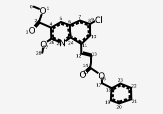 COC(=O)c1cc2cc(Cl)cc(C=CC(=O)OCc3ccccc3)c2nc1OC